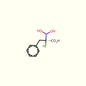 O=C(O)[C@]([18F])(Cc1ccccc1)N(O)O